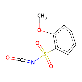 COc1ccccc1S(=O)(=O)N=C=O